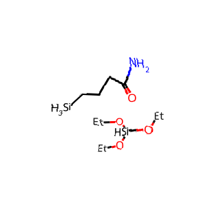 CCO[SiH](OCC)OCC.NC(=O)CCC[SiH3]